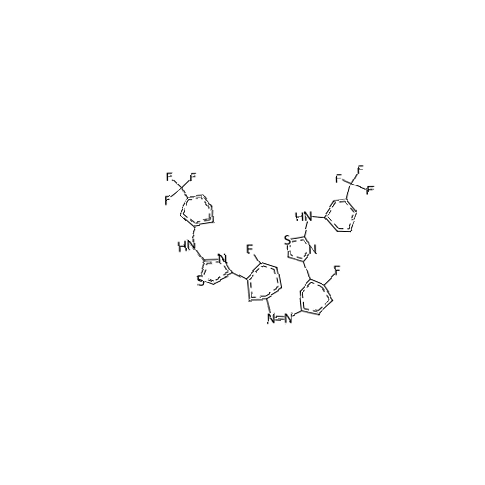 Fc1ccc(/N=N\c2ccc(F)c(-c3csc(Nc4cccc(C(F)(F)F)c4)n3)c2)cc1-c1csc(Nc2cccc(C(F)(F)F)c2)n1